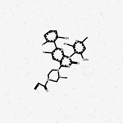 C=CC(=O)N1CCN(c2nc(=O)n(-c3c(SC)cc(C)nc3C(C)C)c3nc(-c4c(O)cccc4F)c(F)cc23)[C@@H](C)C1